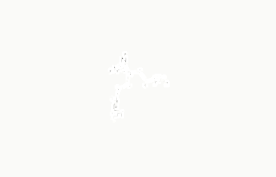 C#CCCC1(CCC)N=N1